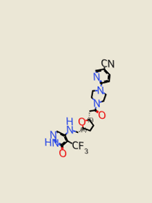 N#Cc1ccc(N2CCN(C(=O)C[C@@H]3CC[C@H](CNc4cn[nH]c(=O)c4C(F)(F)F)O3)CC2)nc1